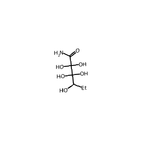 CCC(O)C(O)(O)C(O)(O)C(N)=O